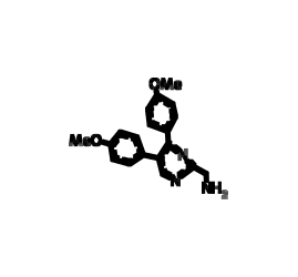 COc1ccc(-c2cnc(CN)nc2-c2ccc(OC)cc2)cc1